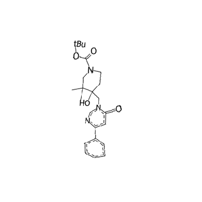 CC(C)(C)OC(=O)N1CCC(O)(Cn2cnc(-c3ccccc3)cc2=O)C(C)(C)C1